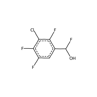 OC(F)c1cc(F)c(F)c(Cl)c1F